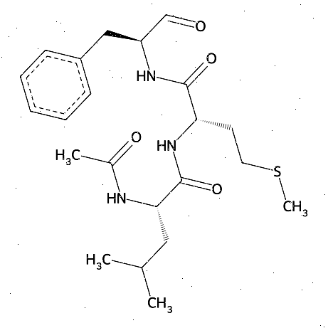 CSCC[C@H](NC(=O)[C@H](CC(C)C)NC(C)=O)C(=O)N[C@H](C=O)Cc1ccccc1